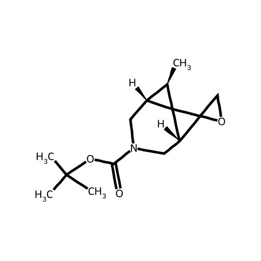 C[C@@H]1[C@H]2CN(C(=O)OC(C)(C)C)C[C@H]3C4(CO4)C123